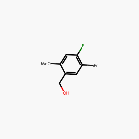 COc1cc(F)c(C(C)C)cc1CO